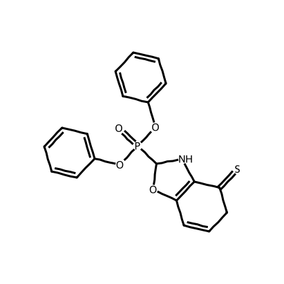 O=P(Oc1ccccc1)(Oc1ccccc1)C1NC2=C(C=CCC2=S)O1